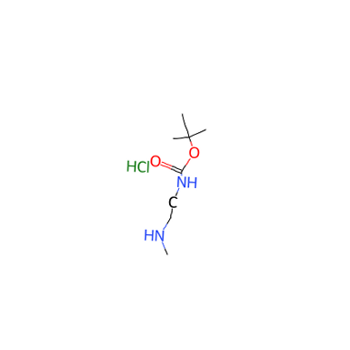 CNCCNC(=O)OC(C)(C)C.Cl